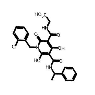 CC(NC(=O)c1c(O)c(C(=O)NCC(=O)O)c(=O)n(Cc2ccccc2Cl)c1O)c1ccccc1